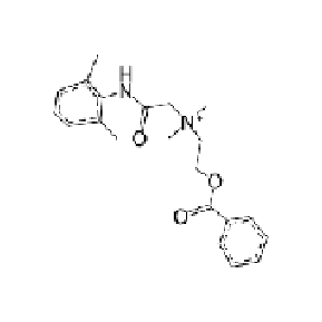 Cc1cccc(C)c1NC(=O)C[N+](C)(C)CCOC(=O)c1ccccc1